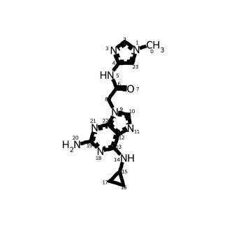 Cn1cnc(NC(=O)Cn2cnc3c(NC4CC4)nc(N)nc32)c1